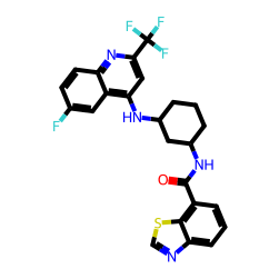 O=C(NC1CCCC(Nc2cc(C(F)(F)F)nc3ccc(F)cc23)C1)c1cccc2ncsc12